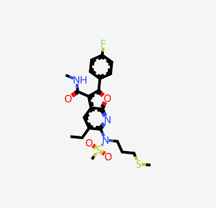 CCc1cc2c(C(=O)NC)c(-c3ccc(F)cc3)oc2nc1N(CCCSC)S(C)(=O)=O